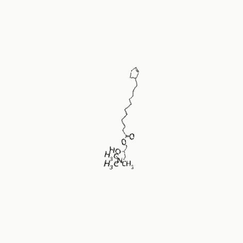 C[N+](C)(C)CC(O)COC(=O)CCCCCCCCCCC1C=CCC1